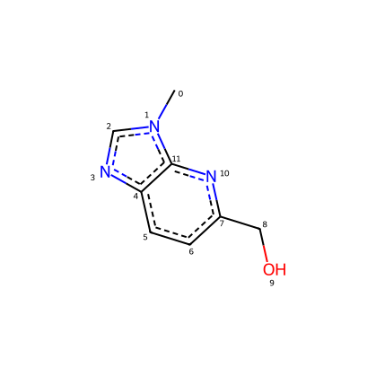 Cn1cnc2ccc(CO)nc21